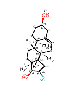 C[C@]12CC[C@H]3[C@@H](CC=C4C[C@H](O)CC[C@@]43C)[C@@H]1C[C@@H](F)[C@H]2O